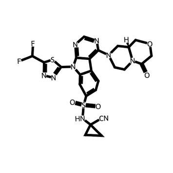 N#CC1(NS(=O)(=O)c2ccc3c4c(N5CCN6C(=O)COC[C@H]6C5)ncnc4n(-c4nnc(C(F)F)s4)c3c2)CC1